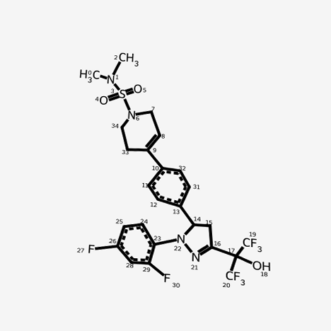 CN(C)S(=O)(=O)N1CC=C(c2ccc(C3CC(C(O)(C(F)(F)F)C(F)(F)F)=NN3c3ccc(F)cc3F)cc2)CC1